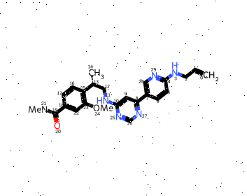 C=CCNc1ccc(-c2cc(NC[C@@H](C)c3ccc(C(=O)NC)cc3OC)ncn2)cn1